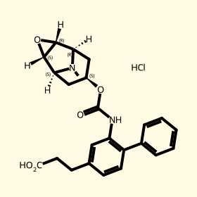 CN1[C@@H]2C[C@@H](OC(=O)Nc3cc(CCC(=O)O)ccc3-c3ccccc3)C[C@H]1[C@@H]1O[C@@H]12.Cl